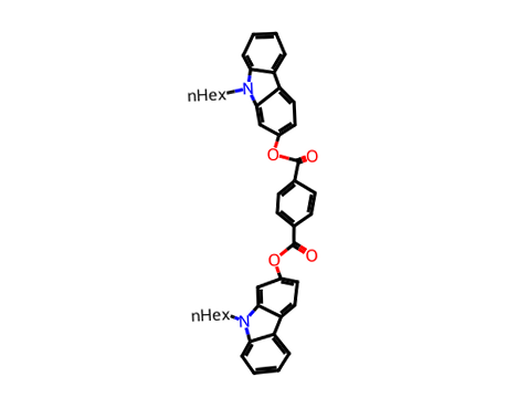 CCCCCCn1c2ccccc2c2ccc(OC(=O)c3ccc(C(=O)Oc4ccc5c6ccccc6n(CCCCCC)c5c4)cc3)cc21